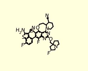 N#Cc1c(N)sc2c(F)ccc(-c3c(Cl)c4c5c(nc(OCC67CCCN6C[C@H](F)C7)nc5c3F)N3CCCC(C#N)C3CCO4)c12